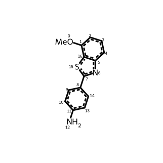 COc1cccc2nc(-c3ccc(N)cc3)sc12